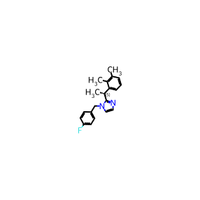 Cc1cccc([C@H](C)c2nccn2Cc2ccc(F)cc2)c1C